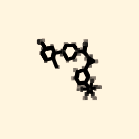 Cc1ccc(Cl)cc1N1CCN(C(=O)[C@H]2CC2c2cccc(S(F)(F)(F)(F)F)c2)CC1